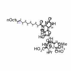 CCCCCCCC/C=C/CCCCCCCC(=O)Nc1nc(=O)[nH]cc1[C@H]1O[C@H](COP(=O)(NC(COC)C[C@H](C)C=O)N[C@@H](CC(C)C)C(=O)O)[C@@H](O)[C@@H]1O